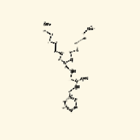 COCCCCCOCC(CNCC(C=O)NCc1ccccc1)OCCCCCOC